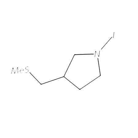 CSCC1CCN(I)C1